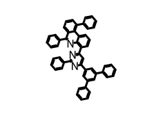 c1ccc(-c2cc(-c3ccccc3)cc(-c3cc(-c4cccc5c4nc(-c4ccccc4)c4cccc(-c6ccccc6)c45)nc(-c4ccccc4)n3)c2)cc1